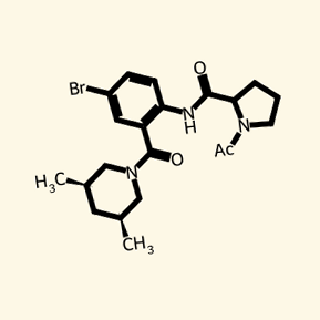 CC(=O)N1CCCC1C(=O)Nc1ccc(Br)cc1C(=O)N1C[C@H](C)C[C@H](C)C1